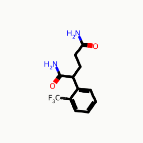 NC(=O)CCC(C(N)=O)c1ccccc1C(F)(F)F